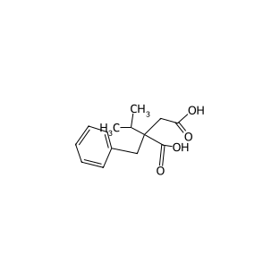 CC(C)C(CC(=O)O)(Cc1ccccc1)C(=O)O